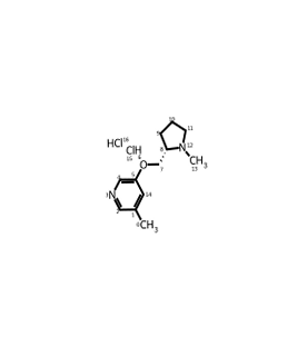 Cc1cncc(OC[C@@H]2CCCN2C)c1.Cl.Cl